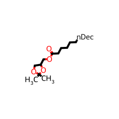 CCCCCCCCCCCCCCCC(=O)OCC1COC(C)(C)O1